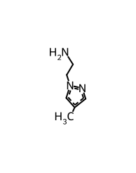 Cc1cnn(CCN)c1